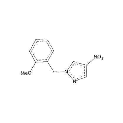 COc1ccccc1Cn1cc([N+](=O)[O-])cn1